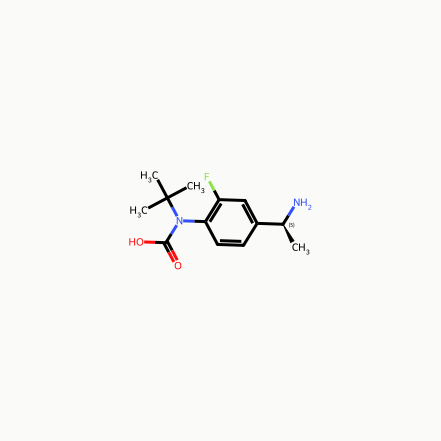 C[C@H](N)c1ccc(N(C(=O)O)C(C)(C)C)c(F)c1